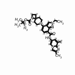 CCn1cc2c(N3CCC4(CC3)CCN4C(=O)OC(C)(C)C)ccc(C(=O)Nc3cc(F)c4nc(C)cn4c3)c2n1